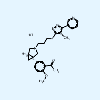 COc1ccc([C@]23C[C@H]2CN(CCCSc2nnc(-c4cccnc4)n2C)C3)cc1C(C)=O.Cl